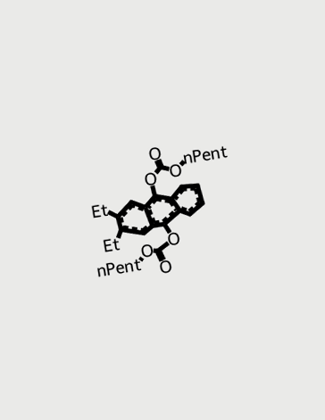 CCCCCOC(=O)Oc1c2ccccc2c(OC(=O)OCCCCC)c2cc(CC)c(CC)cc12